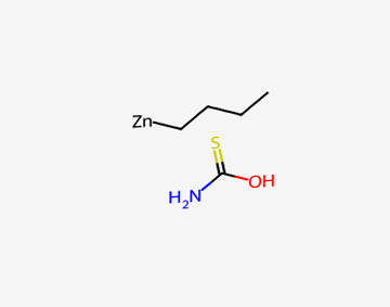 CCC[CH2][Zn].NC(O)=S